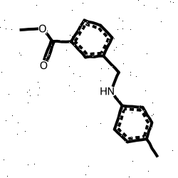 COC(=O)c1cccc(CNc2ccc(C)cc2)c1